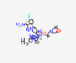 CN(C)C1(CNc2nc(OCC3(CN4CCOCC5(CC5)C4)CC3)nc3cc(-c4ccc(F)c5sc(N)c(C#N)c45)ncc23)CCC1